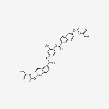 C=CC(=O)OC(C)Oc1ccc2cc(C(=O)Oc3ccc(OC(=O)c4ccc5cc(OC(C)OC(=O)C=C)ccc5c4)c(C(C)=O)c3)ccc2c1